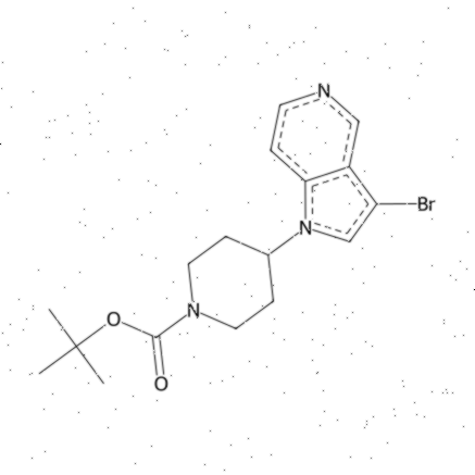 CC(C)(C)OC(=O)N1CCC(n2cc(Br)c3cnccc32)CC1